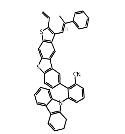 C=Cc1sc2cc3sc4ccc(-c5c(C#N)cccc5-n5c6c(c7ccccc75)C=CCC6)cc4c3cc2c1/C=C(\C)c1ccccc1